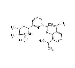 C/C(=N\c1c(C(C)C)cccc1C(C)C)c1cccc(C(=N)CC(C)C(C)(C)C)n1